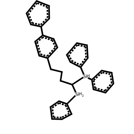 c1ccc([SiH2]C(CCCc2ccc(-c3ccccc3)cc2)[SiH](c2ccccc2)c2ccccc2)cc1